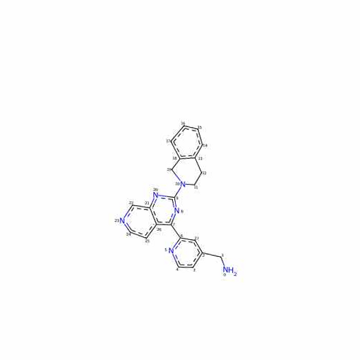 NCc1ccnc(-c2nc(N3CCc4ccccc4C3)nc3cnccc23)c1